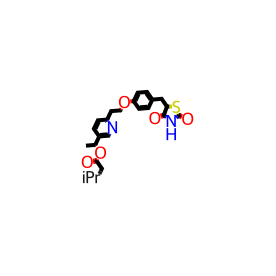 CC(C)CC(=O)OC(C)c1ccc(CCOc2ccc(CC3SC(=O)NC3=O)cc2)nc1